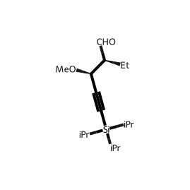 CC[C@H](C=O)[C@@H](C#C[Si](C(C)C)(C(C)C)C(C)C)OC